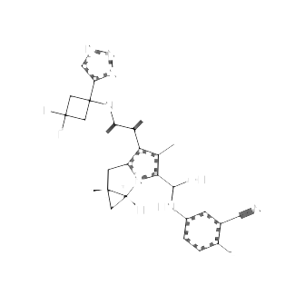 Cc1c(C(=O)C(=O)NC2(c3c[nH]nn3)CC(F)(F)C2)c2n(c1C(O)Nc1ccc(F)c(C#N)c1)[C@@H]1C[C@@H]1C2